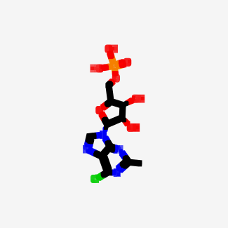 Cc1nc(Cl)c2ncn([C@@H]3OC(COP(=O)(O)O)[C@@H](O)[C@H]3O)c2n1